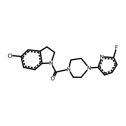 O=C(N1CCN(c2cccc(F)n2)CC1)N1CCc2cc(Cl)ccc21